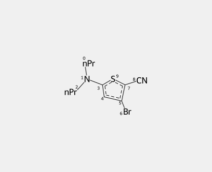 CCCN(CCC)c1cc(Br)c(C#N)s1